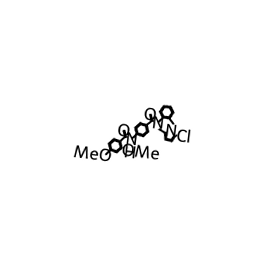 COc1ccc(C(=O)Nc2ccc(C(=O)N3Cc4ccc(Cl)n4Cc4ccccc43)cc2)c(OC)c1